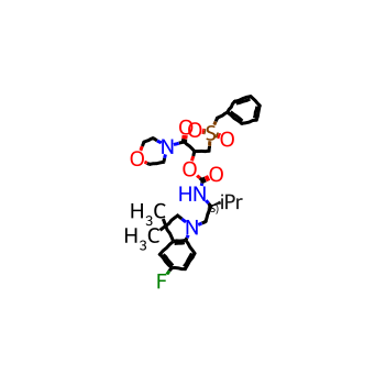 CC(C)[C@@H](CN1CC(C)(C)c2cc(F)ccc21)NC(=O)OC(CS(=O)(=O)Cc1ccccc1)C(=O)N1CCOCC1